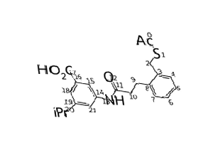 CC(=O)SCc1ccccc1CCC(=O)Nc1cc(C(=O)O)cc(C(C)C)c1